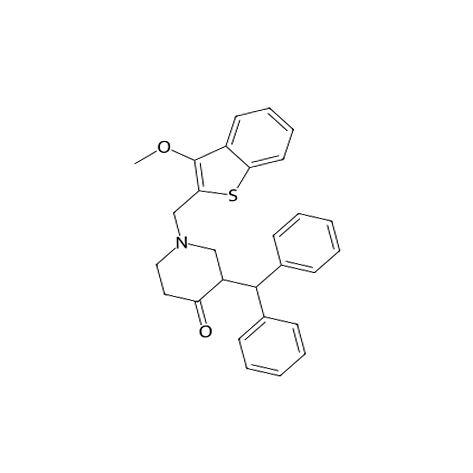 COc1c(CN2CCC(=O)C(C(c3ccccc3)c3ccccc3)C2)sc2ccccc12